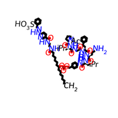 C=CCCCCCCC(CCCCCCC(=O)NCCNC(=O)c1ccc(N/N=C/c2ccccc2S(=O)(=O)O)nc1)OC(=O)OCc1ccc(NC(=O)[C@H](CC(C)C)NC(=O)[C@H](CCCN)NC(=O)[C@H](CCc2ccccc2)NC(=O)CNC(=O)[C@H](CC(C)C)NC(=O)[C@@H]2CCCN2C(C)=O)cc1